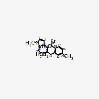 C=C(/C=c1/ccn(C)/c1=C/C)Cc1cc(C)ccc1C(=C)CC